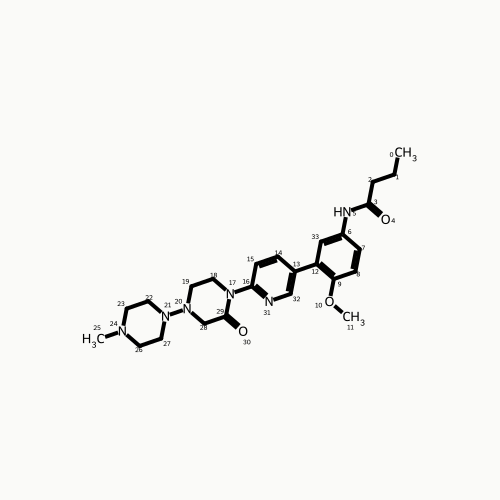 CCCC(=O)Nc1ccc(OC)c(-c2ccc(N3CCN(N4CCN(C)CC4)CC3=O)nc2)c1